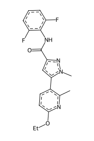 CCOc1ccc(-c2cc(C(=O)Nc3c(F)cccc3F)nn2C)c(C)n1